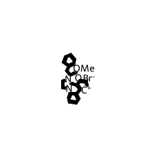 COC(=O)C(Cc1ccccc1)N1CCN2c3ccccc3C3=C(C=CC=[C+]3)C21.[Br-]